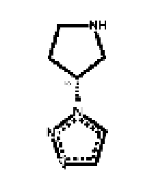 c1cn([C@@H]2CCNC2)nn1